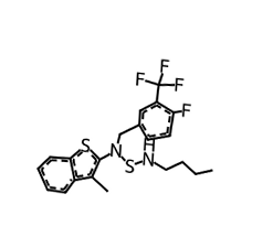 CCCCNSN(Cc1ccc(F)c(C(F)(F)F)c1)c1sc2ccccc2c1C